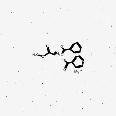 C=CC(=O)OC.O=C([O-])c1ccccc1.O=C([O-])c1ccccc1.[Mg+2]